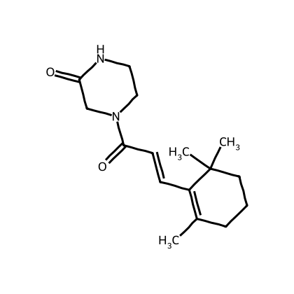 CC1=C(C=CC(=O)N2CCNC(=O)C2)C(C)(C)CCC1